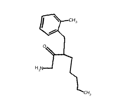 CCCCCC(Cc1ccccc1C)C(=O)CN